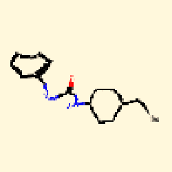 CC(C)(C)CC1CCC(NC(=O)Nc2ccccc2)CC1